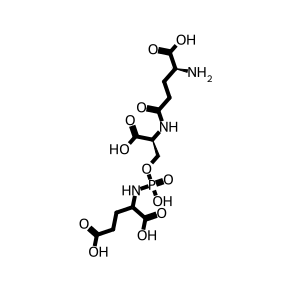 N[C@@H](CCC(=O)N[C@@H](COP(=O)(O)NC(CCC(=O)O)C(=O)O)C(=O)O)C(=O)O